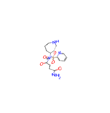 NC(=O)CCC(=O)[N@+]([O-])(C1CCCNCC1)S(=O)(=O)c1ccccn1